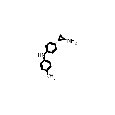 Cc1ccc(Nc2ccc([C@@H]3C[C@H]3N)cc2)cc1